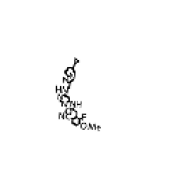 COc1ccc(C#N)c(CC(=O)Nc2cc(NCc3cn4cc(C5CC5)ccc4n3)ncn2)c1F